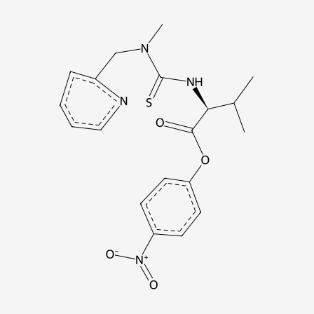 CC(C)[C@H](NC(=S)N(C)Cc1ccccn1)C(=O)Oc1ccc([N+](=O)[O-])cc1